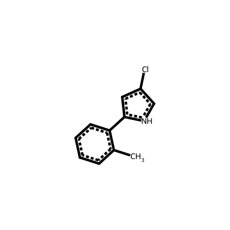 Cc1ccccc1-c1cc(Cl)c[nH]1